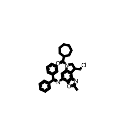 Cc1nc2c3c(cc(N=C(c4ccccc4)c4ccccc4)c2o1)N(C(=O)C1CCCCCC1)CC3CCl